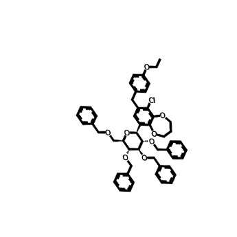 CCOc1ccc(Cc2cc([C@@H]3O[C@H](COCc4ccccc4)[C@@H](OCc4ccccc4)[C@H](OCc4ccccc4)[C@H]3OCc3ccccc3)c3c(c2Cl)OCCCO3)cc1